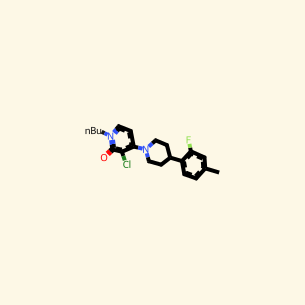 CCCCn1ccc(N2CCC(c3ccc(C)cc3F)CC2)c(Cl)c1=O